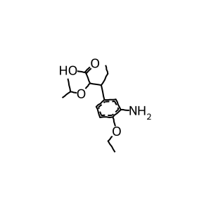 CCOc1ccc(C(CC)C(OC(C)C)C(=O)O)cc1N